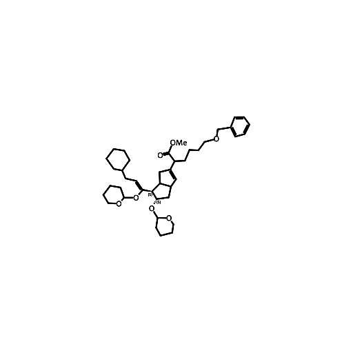 COC(=O)C(CCCCOCc1ccccc1)C1=CC2C[C@H](OC3CCCCO3)[C@@H](C(=CCC3CCCCC3)OC3CCCCO3)C2C1